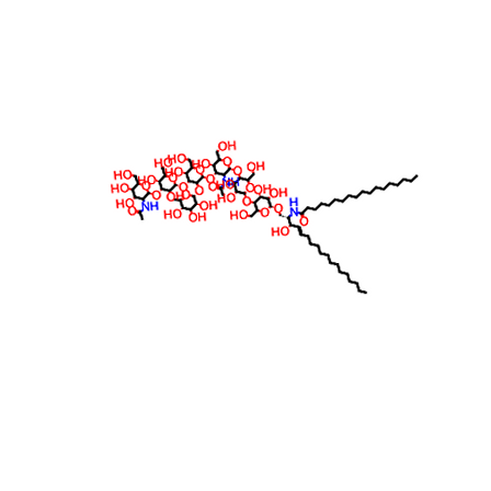 CCCCCCCCCCCCC/C=C/[C@@H](O)[C@H](CO[C@@H]1OC(CO)[C@@H](O[C@@H]2OC(CO)[C@H](O[C@@H]3OC(CO)[C@H](O)[C@H](O[C@@H]4OC(CO)[C@H](O)[C@H](O[C@H]5OC(CO)[C@H](O)[C@H](O[C@@H]6OC(CO)[C@H](O)[C@H](O)C6NC(C)=O)C5O)C4O[C@H]4OC(C)[C@@H](O)C(O)[C@@H]4O)C3NC(C)=O)[C@H](O)C2O)[C@H](O)C1O)NC(=O)CCCCCCCCCCCCCCCCC